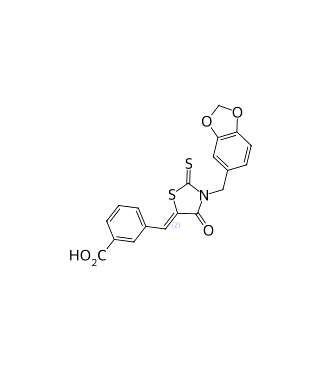 O=C(O)c1cccc(/C=C2\SC(=S)N(Cc3ccc4c(c3)OCO4)C2=O)c1